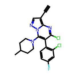 C#Cc1cnn2c(N3CCC(C)CC3)c(-c3ccc(F)cc3Cl)c(Cl)nc12